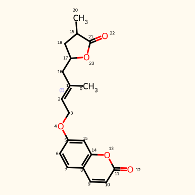 C/C(=C\COc1ccc2ccc(=O)oc2c1)CC1CC(C)C(=O)O1